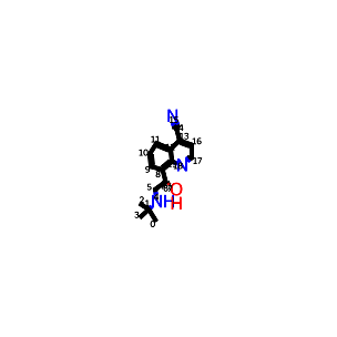 CC(C)(C)NC[C@H](O)c1cccc2c(C#N)ccnc12